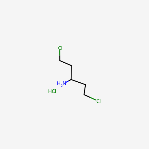 Cl.NC(CCCl)CCCl